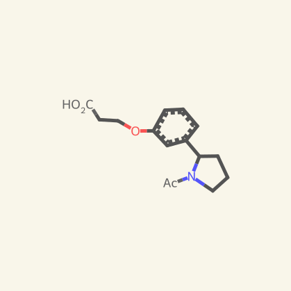 CC(=O)N1CCCC1c1cccc(OCCC(=O)O)c1